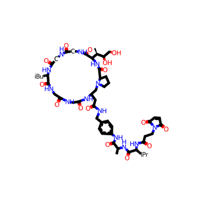 CCC(C)C1NC(=O)CNC(=O)CNC(=O)C([C@@H](C)C(O)CO)NC(=O)C2CCCN2CC(CC(=O)NCc2ccc(NC(=O)C(C)NC(=O)C(NC(=O)CCN3C(=O)C=CC3=O)C(C)C)cc2)NC(=O)CNC(=O)CNC1=O